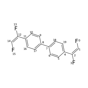 F/C=C(/F)c1ccc(-c2ccc(/C(F)=C\F)cc2)cc1